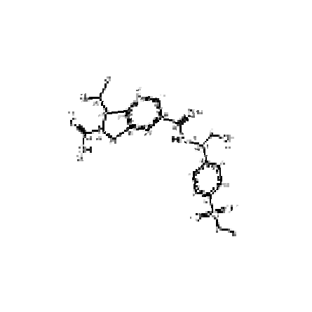 CCS(=O)(=O)c1ccc([C@H](CO)NC(=O)c2cnc3c(c2)CN(C(=O)O)C3C(C)C)cc1